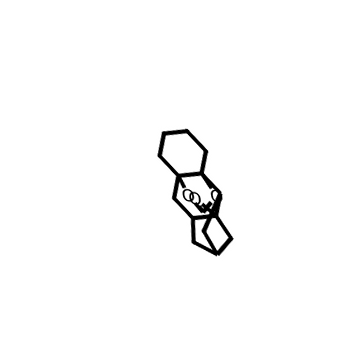 C1CCC23OC4OC56CC(CC5CC2(C1)O4)CC63